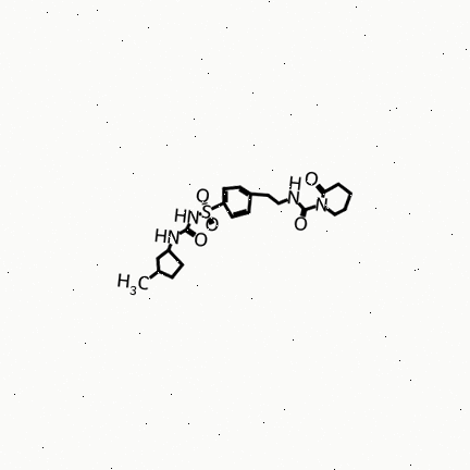 CC1CCC(NC(=O)NS(=O)(=O)c2ccc(CCNC(=O)N3CCCCC3=O)cc2)C1